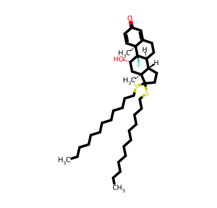 CCCCCCCCCCCCSC1(SCCCCCCCCCCCC)CC[C@H]2[C@@H]3CCC4=CC(=O)C=C[C@]4(C)[C@@]3(F)[C@@H](O)C[C@@]21C